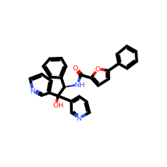 O=C(N[C@H](c1ccccc1)C(O)(c1cccnc1)c1cccnc1)c1ccc(-c2ccccc2)o1